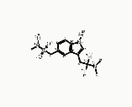 [2H]N(C)S(=O)(=O)Cc1ccc2c(c1)c(CC([2H])([2H])N(C)C)cn2[2H]